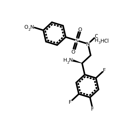 CN(C[C@H](N)c1cc(F)c(F)cc1F)S(=O)(=O)c1ccc([N+](=O)[O-])cc1.Cl